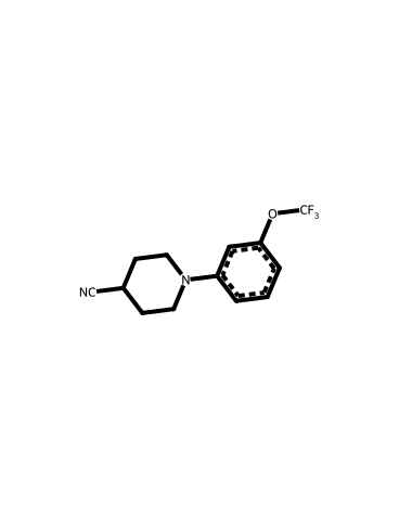 N#CC1CCN(c2cccc(OC(F)(F)F)c2)CC1